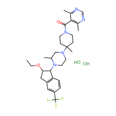 CCOC1Cc2cc(C(F)(F)F)ccc2C1N1CCN(C2(C)CCN(C(=O)c3c(C)ncnc3C)CC2)CC1C.Cl.Cl